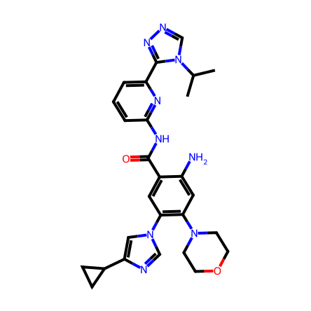 CC(C)n1cnnc1-c1cccc(NC(=O)c2cc(-n3cnc(C4CC4)c3)c(N3CCOCC3)cc2N)n1